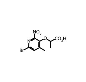 Cc1cc(Br)nc([N+](=O)[O-])c1OC(C)C(=O)O